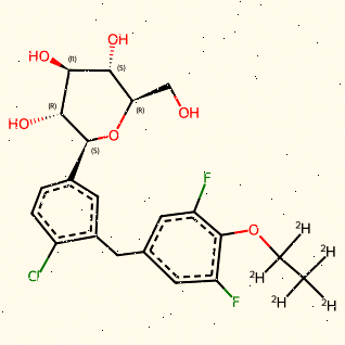 [2H]C([2H])([2H])C([2H])([2H])Oc1c(F)cc(Cc2cc([C@@H]3O[C@H](CO)[C@@H](O)[C@H](O)[C@H]3O)ccc2Cl)cc1F